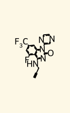 C#CCNc1nc(=O)n(-c2cnccn2)c2cc(C(F)(F)F)cc(F)c12